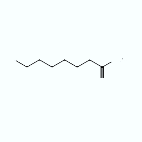 COC(=O)CCCCCCI